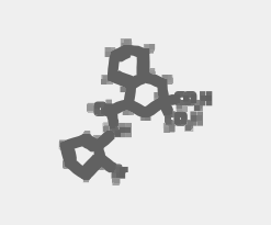 O=C(Nc1ccccc1Br)C1CC(C(=O)O)(C(=O)O)Cc2ccccc21